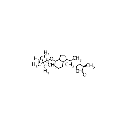 C=C1C[C@@H](C[C@@H](C)[C@H]2CCC3C(O[Si](C)(C)C(C)(C)C)CCC[C@@]32C)OC1=O